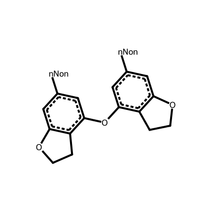 CCCCCCCCCc1cc2c(c(Oc3cc(CCCCCCCCC)cc4c3CCO4)c1)CCO2